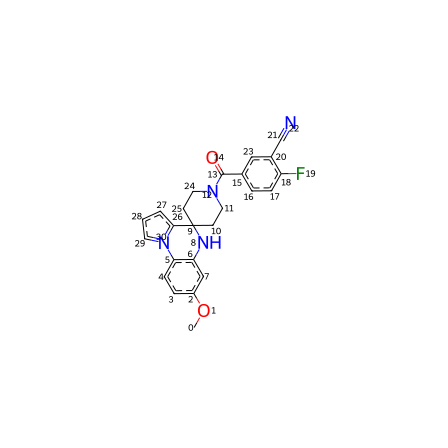 COc1ccc2c(c1)NC1(CCN(C(=O)c3ccc(F)c(C#N)c3)CC1)c1cccn1-2